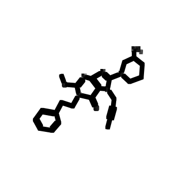 CC#CCn1c(N2CCCC(N)C2)nc2nc(OC)n(CCc3ccccc3)c(=O)c21